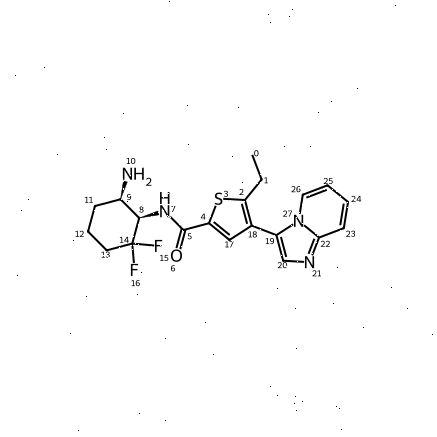 CCc1sc(C(=O)N[C@@H]2[C@H](N)CCCC2(F)F)cc1-c1cnc2ccccn12